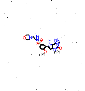 CCCOc1ccc(S(=O)(=O)NCCN2CCOCC2)cc1-c1cc2c([nH]1)c1nncn1c(=O)n2CCC